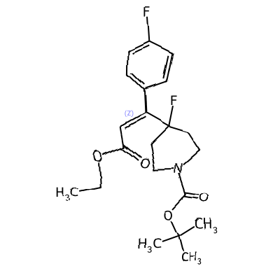 CCOC(=O)/C=C(/c1ccc(F)cc1)C1(F)CCN(C(=O)OC(C)(C)C)CC1